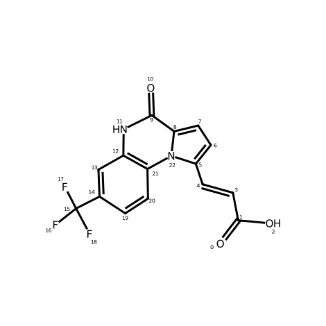 O=C(O)C=Cc1ccc2c(=O)[nH]c3cc(C(F)(F)F)ccc3n12